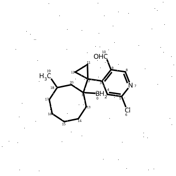 BC1(C2(c3cc(Cl)ncc3C=O)CC2)CCCCCC(C)C1